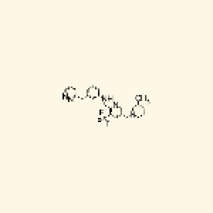 C[C@H]1CCCN(Cc2cnc(CNc3cccc(Cc4cccnn4)c3)c(C(F)(F)F)c2)C1